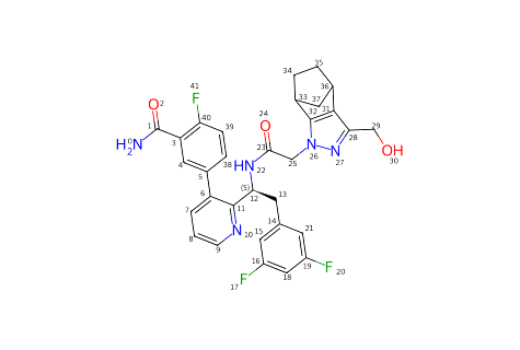 NC(=O)c1cc(-c2cccnc2[C@H](Cc2cc(F)cc(F)c2)NC(=O)Cn2nc(CO)c3c2C2CCC3C2)ccc1F